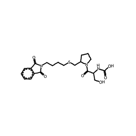 O=C(O)NC(CO)C(=O)N1CCCC1CSCCCCN1C(=O)c2ccccc2C1=O